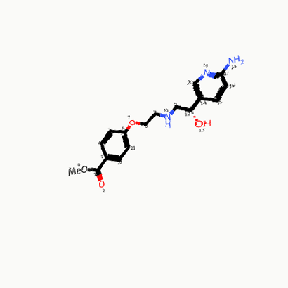 COC(=O)c1ccc(OCCNC[C@@H](O)c2ccc(N)nc2)cc1